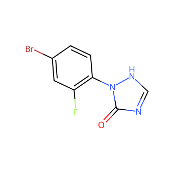 O=c1nc[nH]n1-c1ccc(Br)cc1F